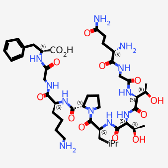 CC(C)C[C@H](NC(=O)[C@@H](NC(=O)[C@@H](NC(=O)CNC(=O)[C@@H](N)CCC(N)=O)[C@@H](C)O)[C@@H](C)O)C(=O)N1CCC[C@H]1C(=O)N[C@@H](CCCCN)C(=O)NCC(=O)N[C@@H](Cc1ccccc1)C(=O)O